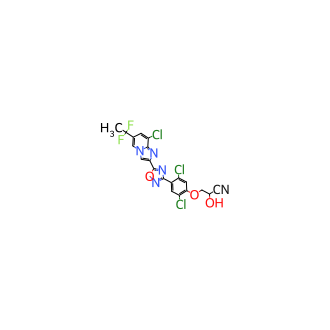 CC(F)(F)c1cc(Cl)c2nc(-c3nc(-c4cc(Cl)c(OCC(O)C#N)cc4Cl)no3)cn2c1